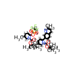 C[C@H]1CC=C(OS(=O)(=O)C(F)(F)F)N(C(=O)OC(C)(C)C)C1.Cc1ccc2ccc(C3=CC[C@H](C)CN3C(=O)OC(C)(C)C)cc2n1